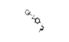 O=C(NC1CC2CCN(CC2)C1)c1ccc(Sc2ccc(Cl)o2)cc1